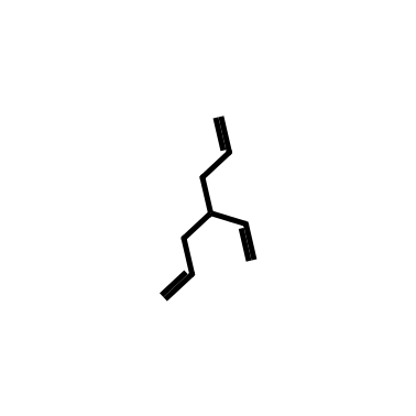 C=CC[C](C=C)CC=C